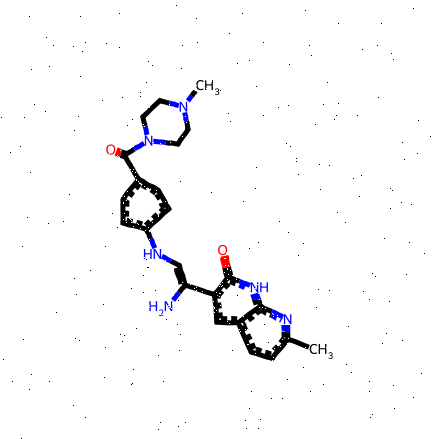 Cc1ccc2cc(/C(N)=C/Nc3ccc(C(=O)N4CCN(C)CC4)cc3)c(=O)[nH]c2n1